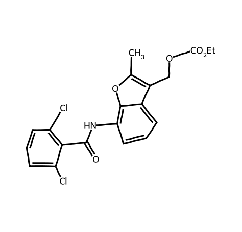 CCOC(=O)OCc1c(C)oc2c(NC(=O)c3c(Cl)cccc3Cl)cccc12